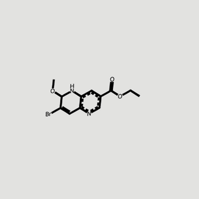 CCOC(=O)c1cnc2c(c1)NC(OC)C(Br)=C2